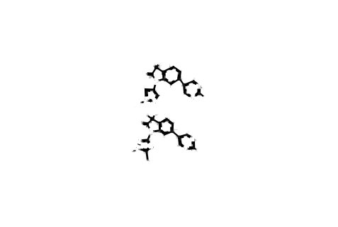 Cc1ncc(-c2ccc3c(c2)N(c2cnn(C)c2)C(=O)C3(C)C)cn1.Cc1ncc(-c2ccc3c(c2)N(c2nc(C)n(C)n2)C(=O)C3(C)C)cn1